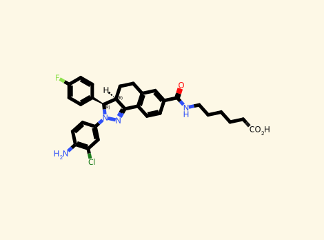 Nc1ccc(N2N=C3c4ccc(C(=O)NCCCCCC(=O)O)cc4CC[C@@H]3[C@@H]2c2ccc(F)cc2)cc1Cl